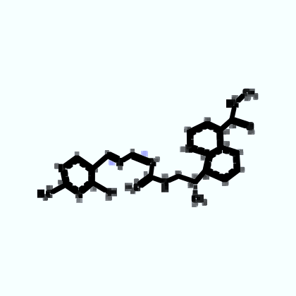 C=C(/N=C\N=C\c1cnc(C)nc1S)NC[C@@H](C)c1cccc2c(C(=O)NC)ccnc12